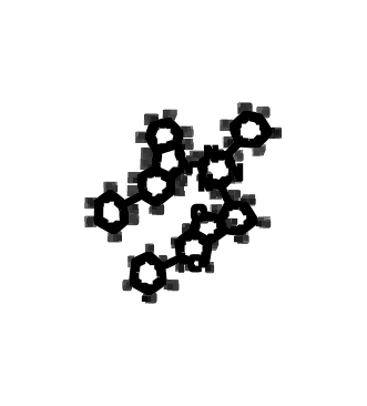 c1ccc(-c2ccc3c(c2)oc2c(-c4nc(-c5ccccc5)nc(-n5c6ccccc6c6cc(-c7ccccc7)ccc65)n4)cccc23)cc1